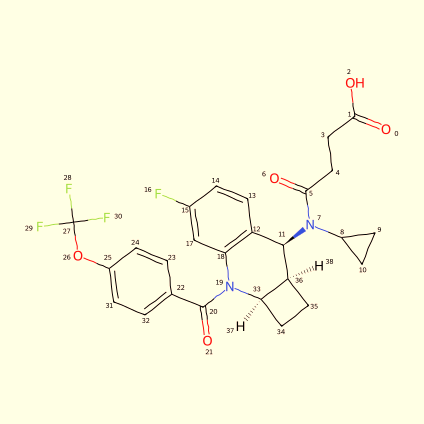 O=C(O)CCC(=O)N(C1CC1)[C@@H]1c2ccc(F)cc2N(C(=O)c2ccc(OC(F)(F)F)cc2)[C@@H]2CC[C@@H]21